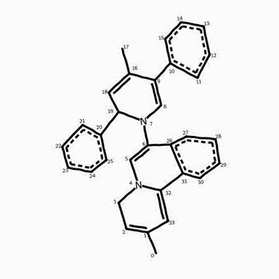 CC1=CCN2C=C(N3C=C(c4ccccc4)C(C)=CC3c3ccccc3)c3ccccc3C2=C1